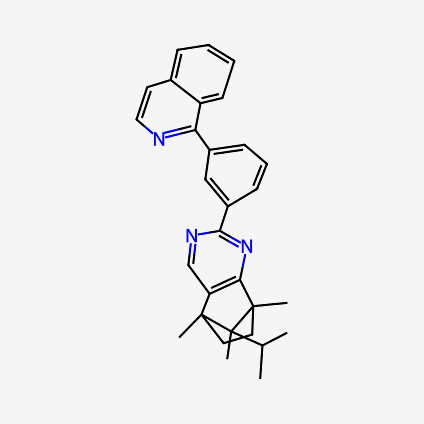 CC(C)C1(C)C2(C)CCC1(C)c1nc(-c3cccc(-c4nccc5ccccc45)c3)ncc12